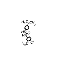 Cc1cc(NC(=O)Nc2ccc(C(C)C)cc2)ccc1Cl